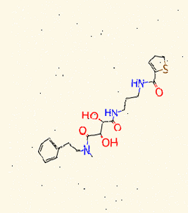 CN(CCc1ccccc1)C(=O)[C@H](O)[C@@H](O)C(=O)NCCCNC(=O)C1=CCCS1